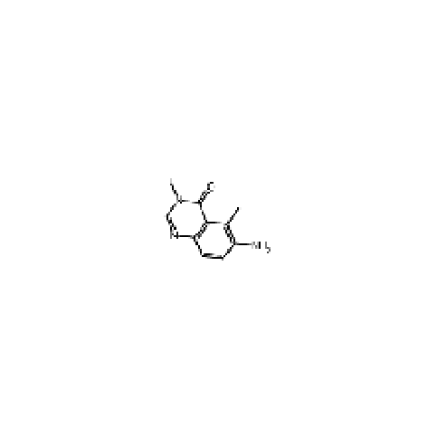 Cc1c(N)ccc2ncn(I)c(=O)c12